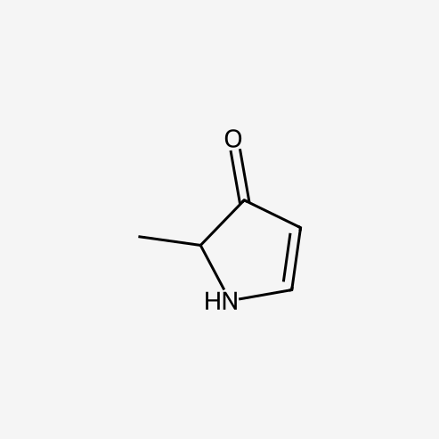 CC1NC=CC1=O